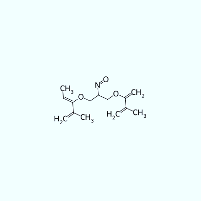 C=C(C)C(=C)OCC(CO/C(=C\C)C(=C)C)N=O